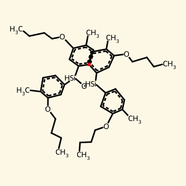 CCCCOc1cc([SiH](O[SiH](c2ccc(C)c(OCCCC)c2)c2ccc(C)c(OCCCC)c2)c2ccc(C)c(OCCCC)c2)ccc1C